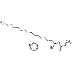 C=CC(=O)OC(Br)CCCCCCCCCCCCCCC.c1ccncc1